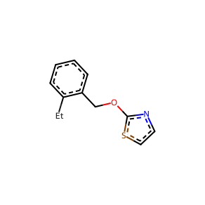 CCc1ccccc1COc1nccs1